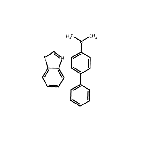 CN(C)c1ccc(-c2ccccc2)cc1.c1ccc2scnc2c1